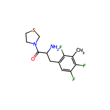 Cc1c(F)c(F)cc(CC(N)C(=O)N2CCSC2)c1F